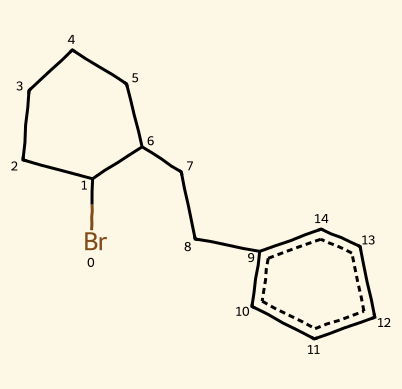 BrC1CCCCC1CCc1ccccc1